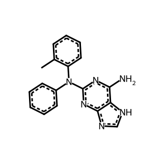 Cc1ccccc1N(c1ccccc1)c1nc(N)c2[nH]cnc2n1